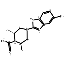 C[C@@H]1CN(c2nc3cc(F)ccc3s2)C[C@@H](C)N1C(=O)O